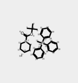 CC(C)(C)OC(=O)N1CCCCC1.C[P+](c1ccccc1)(c1ccccc1)c1ccccc1.[I-]